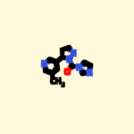 Cc1cncc(C2CC=NN2C(=O)n2ccnc2)c1